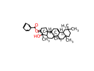 CC1(C)CC[C@]2(C)CC[C@]3(C)C(=CC[C@@H]4[C@@]5(C)CC[C@H](OC(=O)c6ccccc6)[C@@](C)(O)C5CC[C@]43C)[C@H]2C1